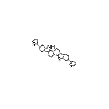 c1csc(-c2ccc3c(c2)[nH]c2c3ccc3c2ccc2c4ccc(-c5cccs5)cc4sc23)c1